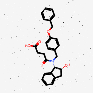 O=C(O)CCC(=O)N(Cc1ccc(OCc2ccccc2)cc1)[C@H]1c2ccccc2C[C@H]1O